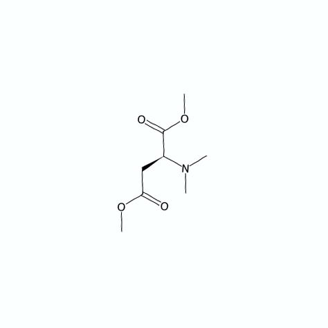 COC(=O)C[C@@H](C(=O)OC)N(C)C